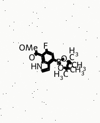 COC(=O)c1c(F)cc(B2OC(C)(C)C(C)(C)O2)c2cc[nH]c12